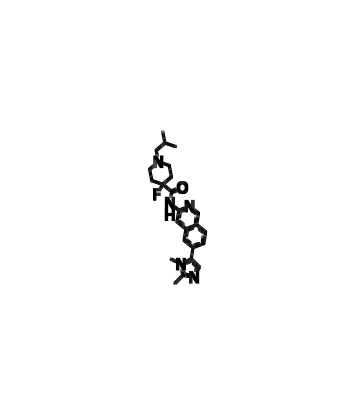 Cc1ncc(-c2ccc3cnc(NC(=O)C4(F)CCN(CC(C)C)CC4)cc3c2)n1C